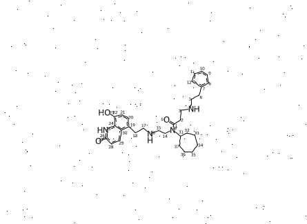 O=C(CCNCCc1ccccc1)N(CCNCCc1ccc(O)c2[nH]c(=O)ccc12)C1CCCCCC1